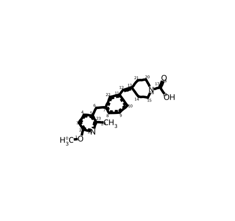 COc1ccc(Cc2cccc(C=C3CCN(C(=O)O)CC3)c2)c(C)n1